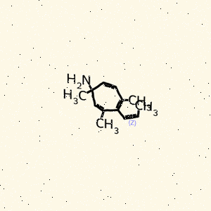 C/C=C\C1=C(C)C=CC(C)(N)C=C1C